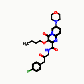 CCCCOc1c(C(=O)NCC(=O)Cc2ccc(F)cc2)nc2ccc(N3CCOCC3)cn2c1=O